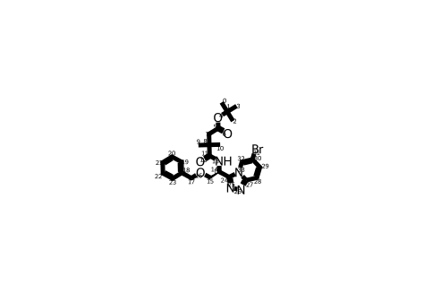 CC(C)(C)OC(=O)CC(C)(C)C(=O)N[C@H](COCc1ccccc1)c1nnc2ccc(Br)cn12